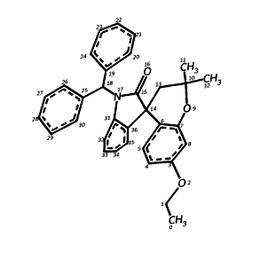 CCOc1ccc2c(c1)OC(C)(C)CC21C(=O)N(C(c2ccccc2)c2ccccc2)c2ccccc21